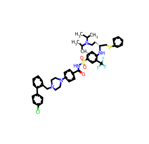 CC(C)N(CC[C@H](CSc1ccccc1)Nc1ccc(S(=O)(=O)NC(=O)c2ccc(N3CCN(Cc4ccccc4-c4ccc(Cl)cc4)CC3)cc2)cc1C(F)(F)F)C(C)C